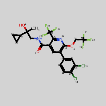 CC(O)(CNC(=O)c1cc(-c2ccc(Cl)c(Cl)c2)c(OCC(F)(F)F)nc1C(F)(F)F)C1CC1